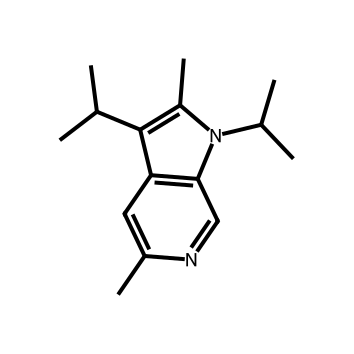 Cc1cc2c(C(C)C)c(C)n(C(C)C)c2cn1